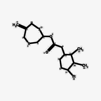 C=C1CSCC(OC(=O)CC2CCC(CC)C(C)C2C)SC1